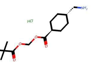 CC(C)(C)C(=O)OCOC(=O)[C@H]1CC[C@H](CN)CC1.Cl